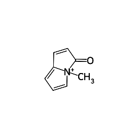 C[N+]12C=CC=C1C=CC2=O